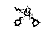 CC=CO[C@H]1[C@@H]2OC[C@@H](O2)[C@@H](OCc2ccccc2)[C@@H]1OCc1ccccc1